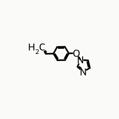 C=Cc1ccc(On2ccnc2)cc1